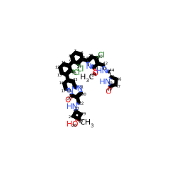 COc1nc(-c2cccc(-c3cccc(-c4ccn5c(=O)c(CNC6CC(C)(O)C6)cnc5c4)c3Cl)c2Cl)cc(Cl)c1CNC[C@@H]1CCC(=O)N1